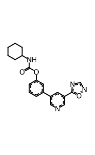 O=C(NC1CCCCC1)Oc1cccc(-c2cncc(-c3ncno3)c2)c1